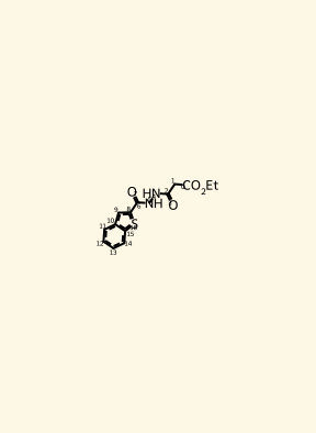 CCOC(=O)CC(=O)NNC(=O)c1cc2ccccc2s1